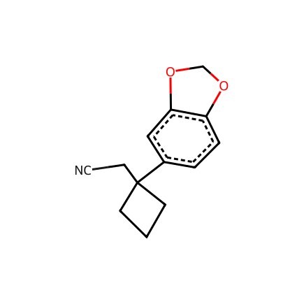 N#CCC1(c2ccc3c(c2)OCO3)CCC1